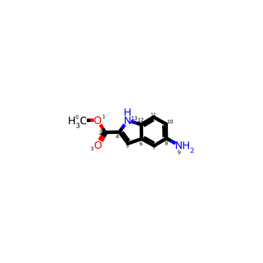 COC(=O)c1[c]c2cc(N)ccc2[nH]1